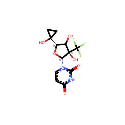 O=c1ccn([C@@H]2O[C@H](C3(O)CC3)C(O)[C@]2(O)C(F)(F)F)c(=O)[nH]1